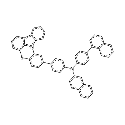 c1ccc2cc(N(c3ccc(-c4ccc5c(c4)-n4c6ccccc6c6cccc(c64)S5)cc3)c3ccc(-c4cccc5ccccc45)cc3)ccc2c1